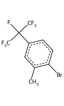 Cc1cc(C(F)(C(F)(F)F)C(F)(F)F)ccc1Br